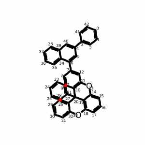 c1ccc(-c2cc(-c3ccc4c(c3)Oc3cccc5c3C4(c3ccccc3)c3ccccc3O5)c3ccccc3c2)cc1